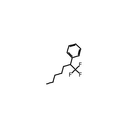 CCCCCC(c1ccccc1)C(F)(F)F